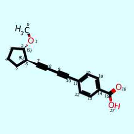 CO[C@H]1CCC[C@@H]1C#CC#Cc1ccc(C(=O)O)cc1